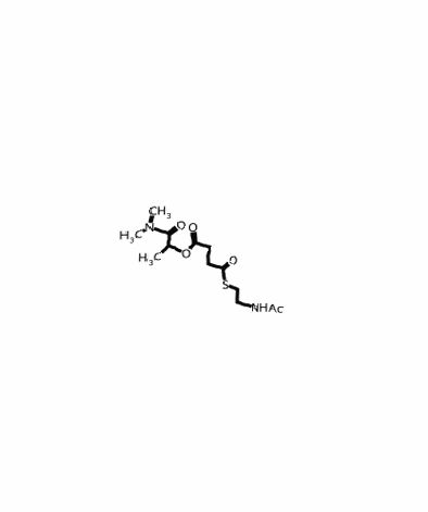 CC(=O)NCCSC(=O)CCC(=O)OC(C)C(=O)N(C)C